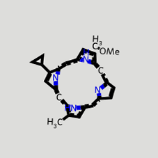 COC.Cc1cc2cc3nc(cc4ccc(cc5nc(cc1[nH]2)C=C5C1CC1)[nH]4)C=C3